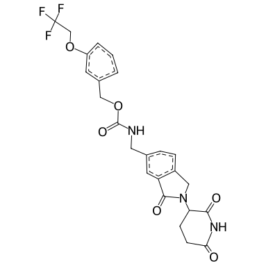 O=C1CCC(N2Cc3ccc(CNC(=O)OCc4cccc(OCC(F)(F)F)c4)cc3C2=O)C(=O)N1